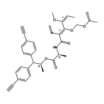 C#Cc1ccc(C(c2ccc(C#C)cc2)[C@H](C)OC(=O)[C@H](C)NC(=O)/C(N=C)=C(OCOC(C)=O)/C(=C\C)OC)cc1